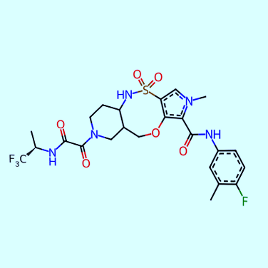 Cc1cc(NC(=O)c2c3c(cn2C)S(=O)(=O)NC2CCN(C(=O)C(=O)N[C@H](C)C(F)(F)F)CC2CO3)ccc1F